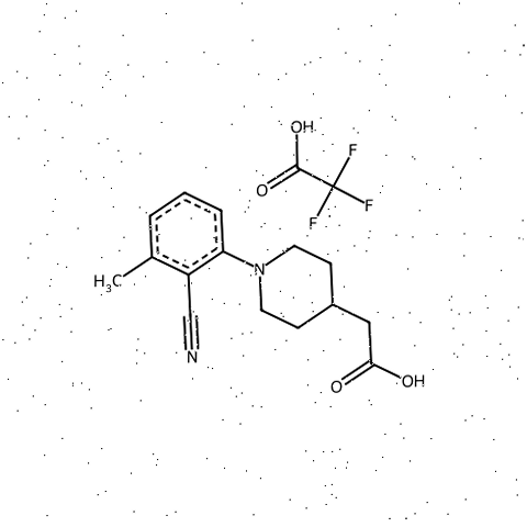 Cc1cccc(N2CCC(CC(=O)O)CC2)c1C#N.O=C(O)C(F)(F)F